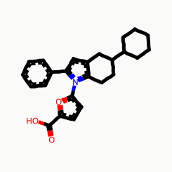 O=C(O)c1ccc(-n2c(-c3ccccc3)cc3c2CCC(C2CCCCC2)C3)o1